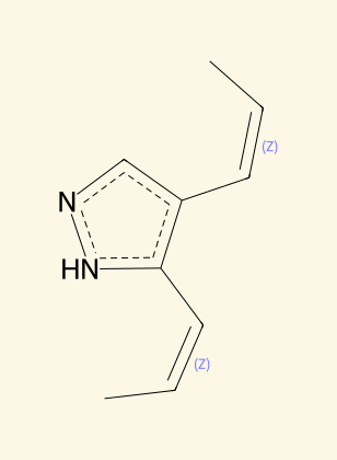 C/C=C\c1cn[nH]c1/C=C\C